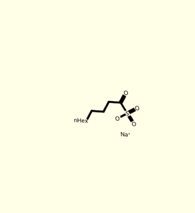 CCCCCCCCCC(=O)S(=O)(=O)[O-].[Na+]